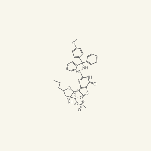 CCCC1C[C@@](N)([C@H](C)OS(C)(=O)=O)[C@H](n2c(=O)sc3c(=O)[nH]c(NNC(c4ccccc4)(c4ccccc4)c4ccc(OC)cc4)nc32)O1